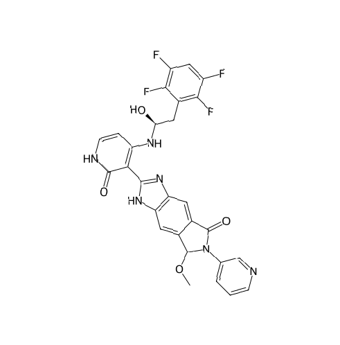 COC1c2cc3[nH]c(-c4c(N[C@@H](O)Cc5c(F)c(F)cc(F)c5F)cc[nH]c4=O)nc3cc2C(=O)N1c1cccnc1